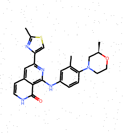 Cc1nc(-c2cc3cc[nH]c(=O)c3c(Nc3ccc(N4CCO[C@H](C)C4)c(C)c3)n2)cs1